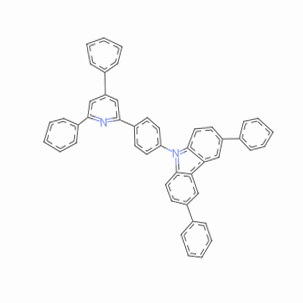 c1ccc(-c2cc(-c3ccccc3)nc(-c3ccc(-n4c5ccc(-c6ccccc6)cc5c5cc(-c6ccccc6)ccc54)cc3)c2)cc1